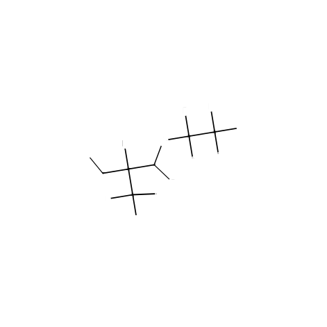 FCC(F)(C(F)OC(F)(F)C(F)(F)F)C(F)(F)F